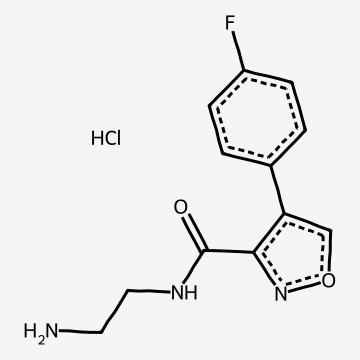 Cl.NCCNC(=O)c1nocc1-c1ccc(F)cc1